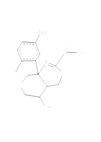 COC1COCC2(c3cc(N)ccc3F)N=C(NC(=O)O)SCC12